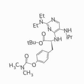 CCN(CC)c1ncc(NC(C)C)c(N[C@@H](Cc2ccc(OC(=O)N(C)C)cc2)C(=O)OC(C)(C)C)n1